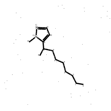 CCCCCCCC(C)c1ccnn1C